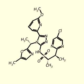 COc1cccc(-c2nnc(NS(=O)(=O)[C@@H](C)[C@H](C)c3ncc(Cl)cn3)n2[C@@H](C)c2ncc(C)o2)n1